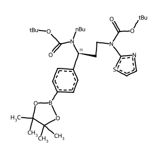 CCCCN(C(=O)OC(C)(C)C)[C@@H](CCN(C(=O)OC(C)(C)C)c1nccs1)c1ccc(B2OC(C)(C)C(C)(C)O2)cc1